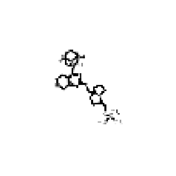 CC(C)(C)[Si](C)(C)OCC1CCC2(COc3nc4c(c(N5C[C@H]6CC[C@@H](C5)N6C(=O)O)n3)CCNC4)CCCN12